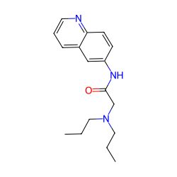 CCCN(CCC)CC(=O)Nc1ccc2ncccc2c1